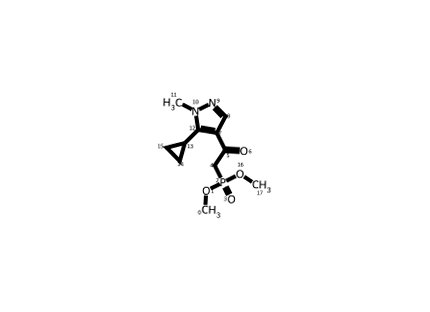 COP(=O)(CC(=O)c1cnn(C)c1C1CC1)OC